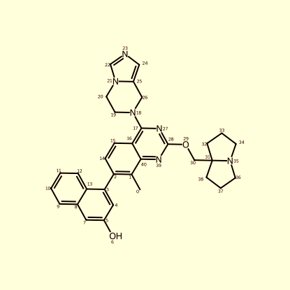 Cc1c(-c2cc(O)cc3ccccc23)ccc2c(N3CCn4cncc4C3)nc(OCC34CCCN3CCC4)nc12